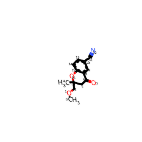 COCC1(C)CC(=O)c2cc(C#N)ccc2O1